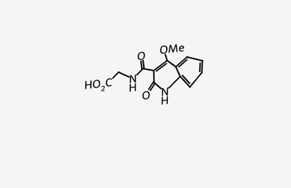 COc1c(C(=O)NCC(=O)O)c(=O)[nH]c2ccccc12